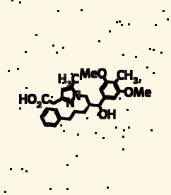 COc1cc([C@@H](O)[C@@H](CCCc2ccccc2)Cn2nc(CC(=O)O)cc2C)cc(OC)c1C